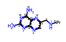 CC(C)NCc1cnc2nc(N)nc(N)c2n1